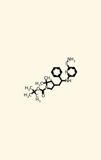 CC(C)(C)OC(=O)N1CC(CC(Nc2cccc(SN)n2)c2ccccc2)CC1(C)C